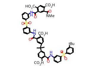 CNC(=O)c1cc(C(=O)Nc2cccc(S(=O)(=O)c3cccc(NC(=O)c4cc(C(C)(C)c5ccc(C(=O)O)c(C(=O)Nc6cccc(S(=O)(=O)c7cccc(C(C)(C)C)c7)c6)c5)ccc4C(=O)O)c3)c2)c(C(=O)O)cc1C(=O)O